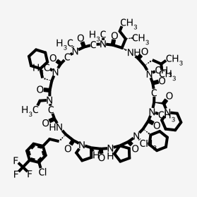 CC[C@H](C)[C@@H]1NC(=O)[C@H](CC(C)C)N(C)C(=O)C[C@@H](C(=O)N2CCCCC2)N(C)C(=O)[C@H](C2CCCCC2)N(C)C(=O)C2(CCCC2)NC(=O)[C@@H]2CCCN2C(=O)[C@H](CCc2ccc(C(F)(F)F)c(Cl)c2)NC(=O)CN(CC)C(=O)[C@H](CC2CCCCC2)N(C)C(=O)CN(C)C(=O)CN(C)C1=O